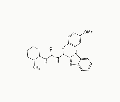 COc1ccc(C[C@@H](NC(=O)NC2CCCCC2C)c2nc3ccccc3[nH]2)cc1